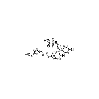 Nc1c2c(nc3cc(Cl)ccc13)CC1C=C(CCCCn3cc(CO)nn3)CC2C1.O=C(O)C(F)(F)F